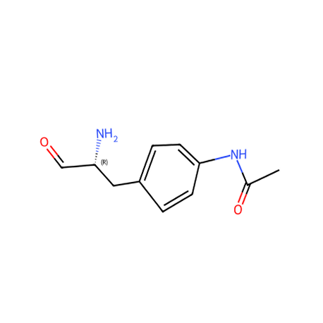 CC(=O)Nc1ccc(C[C@@H](N)C=O)cc1